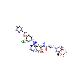 O=C(/C=C/CN1C[C@@H]2OCCO[C@@H]2C1)Nc1cc2c(Nc3ccc(OCc4ccccn4)c(Cl)c3)ncnc2cc1O